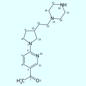 CC(=O)c1ccc(N2CCC(CCN3CCNCC3)C2)nc1